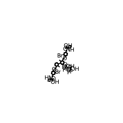 Cc1c(COc2ccc(CNC3(C(=O)O)CCC3)cc2Br)cccc1-c1cccc(COc2ccc(CNC3(C(=O)O)CCC3)cc2Br)c1C.O=C(O)C(F)(F)F.O=C(O)C(F)(F)F